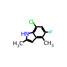 Cc1cc2c(C)c(F)cc(Cl)c2[nH]1